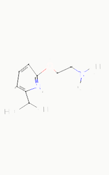 CC(C)c1cccc(OCCN(C)C)n1